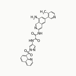 Cc1ccncc1-c1cc(N)c2cnc(NC(=O)C(=O)Nc3cnn(S(=O)(=O)c4cccc5cccnc45)c3)cc2c1